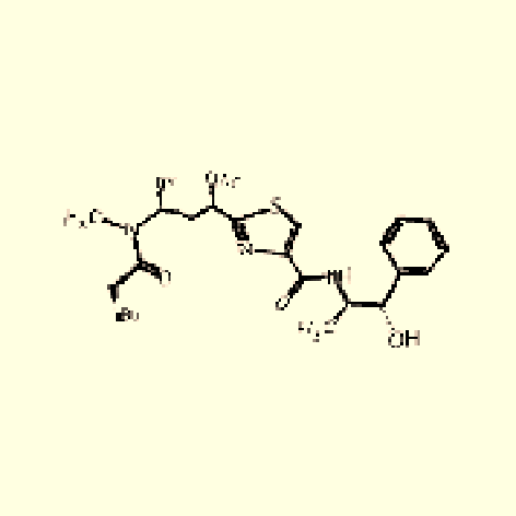 CC[C@H](C)CC(=O)N(C)[C@H](C[C@@H](OC(C)=O)c1nc(C(=O)N[C@H](C)[C@@H](O)c2ccccc2)cs1)C(C)C